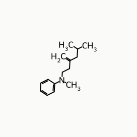 C=C(CCN(C)c1ccccc1)CC(C)C